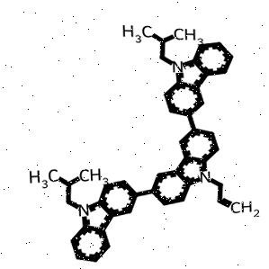 C=CCn1c2ccc(-c3ccc4c(c3)c3ccccc3n4CC(C)C)cc2c2cc(-c3ccc4c(c3)c3ccccc3n4CC(C)C)ccc21